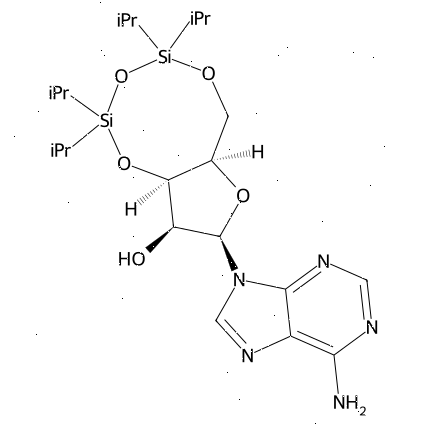 CC(C)[Si]1(C(C)C)OC[C@H]2O[C@@H](n3cnc4c(N)ncnc43)[C@@H](O)[C@H]2O[Si](C(C)C)(C(C)C)O1